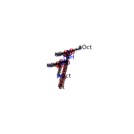 CCCCCCCC/C=C\CCCCCCCC(=O)OCCN(CCOC(=O)CCCCCCC/C=C\CCCCCCCC)C(=O)CCC(=O)NCCCC[C@H](NC(=O)CCC(=O)N(CCOC(=O)CCCCCCC/C=C\CCCCCCCC)CCOC(=O)CCCCCCC/C=C\CCCCCCCC)C(=O)NCCCOCCOCCOCCCNC(=O)CCOCCOCCOCC